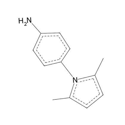 Cc1ccc(C)n1-c1ccc(N)cc1